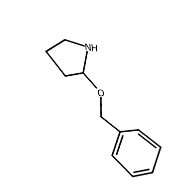 c1ccc(COC2CCCN2)cc1